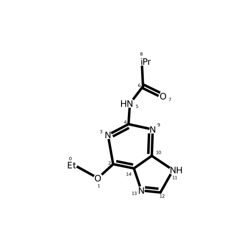 CCOc1nc(NC(=O)C(C)C)nc2[nH]cnc12